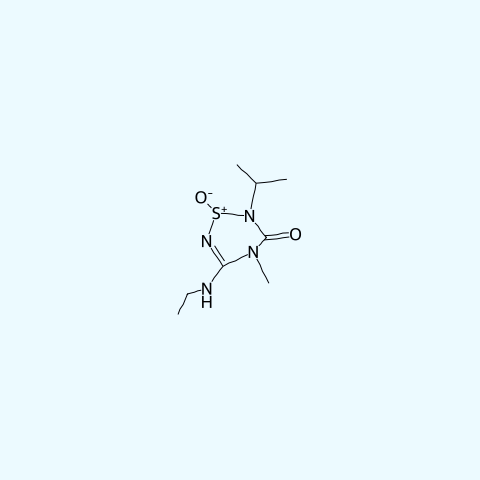 CCNC1=N[S+]([O-])N(C(C)C)C(=O)N1C